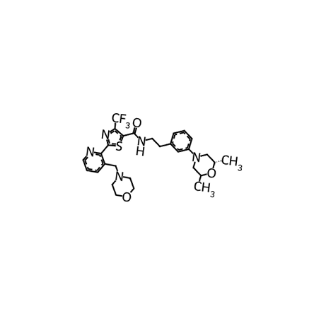 CC1CN(c2cccc(CCNC(=O)c3sc(-c4ncccc4CN4CCOCC4)nc3C(F)(F)F)c2)C[C@H](C)O1